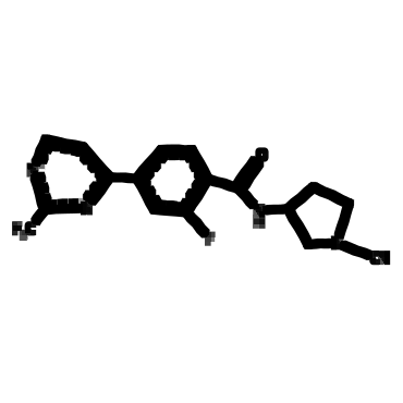 N#CN1CCC(NC(=O)c2ccc(-c3ccnc(C(F)(F)F)n3)cc2F)C1